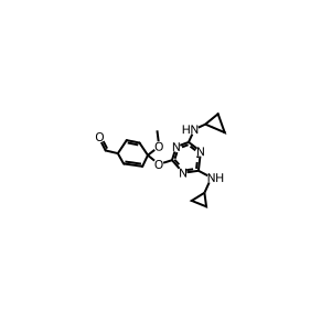 COC1(Oc2nc(NC3CC3)nc(NC3CC3)n2)C=CC(C=O)C=C1